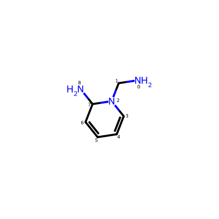 NCN1C=CC=CC1N